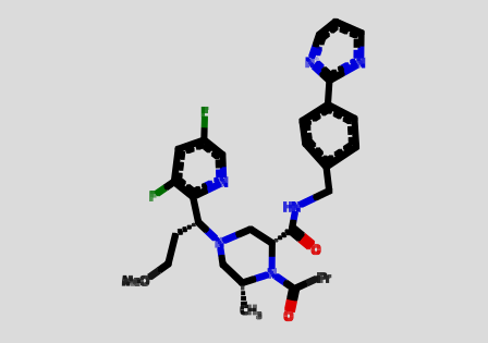 COCC[C@H](c1ncc(F)cc1F)N1C[C@@H](C)N(C(=O)C(C)C)[C@@H](C(=O)NCc2ccc(-c3ncccn3)cc2)C1